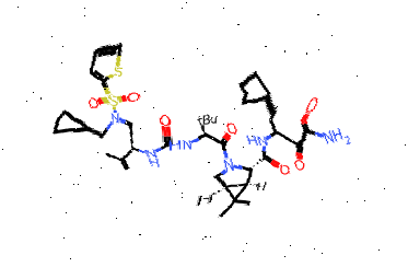 C=C(C)[C@@H](CN(CC1CC1)S(=O)(=O)c1cccs1)NC(=O)N[C@H](C(=O)N1C[C@H]2[C@@H]([C@H]1C(=O)NC(CC1CCC1)C(=O)C(N)=O)C2(C)C)C(C)(C)C